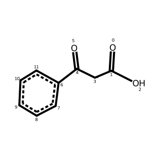 O=C(O)[CH]C(=O)c1ccccc1